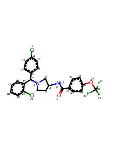 O=C(NC1CCN(C(c2ccc(Cl)cc2)c2ccccc2Cl)C1)c1ccc(OC(F)(F)F)cc1